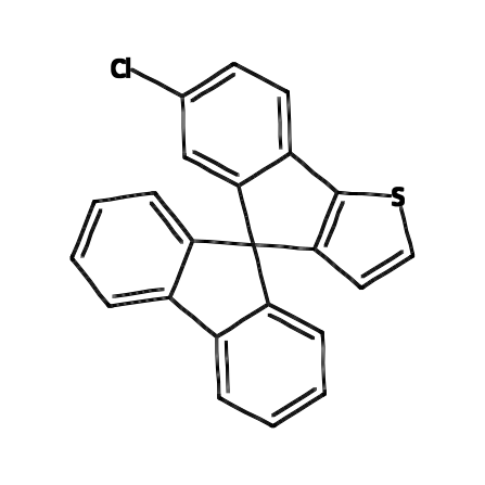 Clc1ccc2c(c1)C1(c3ccccc3-c3ccccc31)c1ccsc1-2